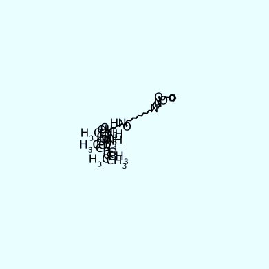 CC(C)(C)OC(=O)CCC(NC(=O)NC(CCCCNC(=O)CCCCCCCCCCN1CCN(C(=O)OCc2ccccc2)CC1)C(=O)OC(C)(C)C)C(=O)OC(C)(C)C